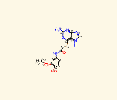 COc1cc(NC(=O)CSc2nc(N)nc3nc[nH]c23)ccc1O